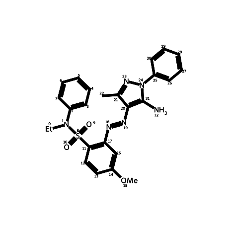 CCN(c1ccccc1)S(=O)(=O)c1ccc(OC)cc1/N=N/c1c(C)nn(-c2ccccc2)c1N